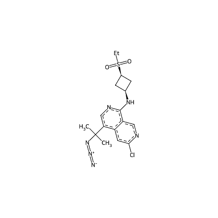 CCS(=O)(=O)[C@H]1C[C@@H](Nc2ncc(C(C)(C)N=[N+]=[N-])c3cc(Cl)ncc23)C1